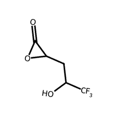 O=C1OC1CC(O)C(F)(F)F